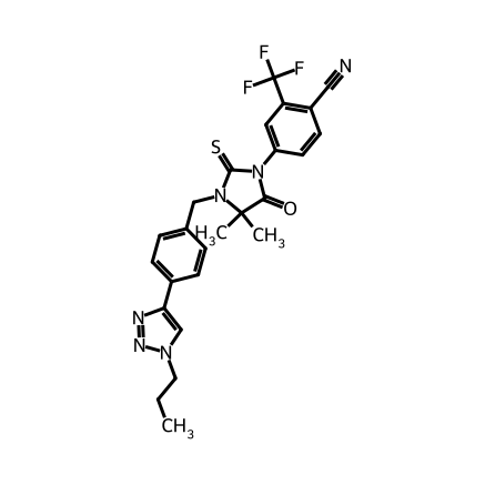 CCCn1cc(-c2ccc(CN3C(=S)N(c4ccc(C#N)c(C(F)(F)F)c4)C(=O)C3(C)C)cc2)nn1